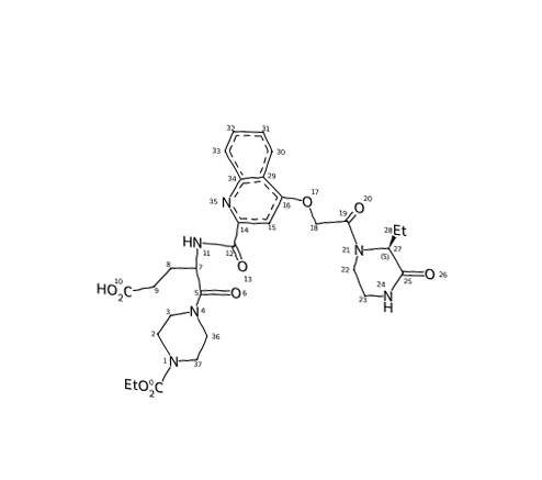 CCOC(=O)N1CCN(C(=O)C(CCC(=O)O)NC(=O)c2cc(OCC(=O)N3CCNC(=O)[C@@H]3CC)c3ccccc3n2)CC1